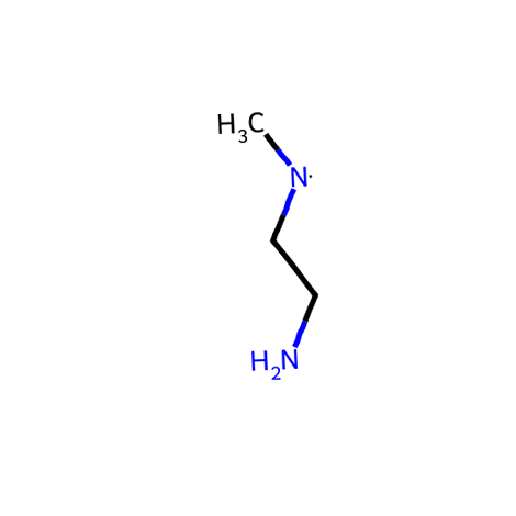 C[N]CCN